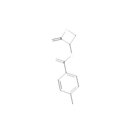 Cc1ccc(C(=O)NC2CNC2=O)cc1